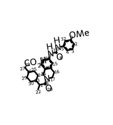 COc1cccc(NC(=O)Nc2ccc3c(c2)CCN(C(=O)C(C)C2CCC(CC(=O)O)CC2)C3)c1